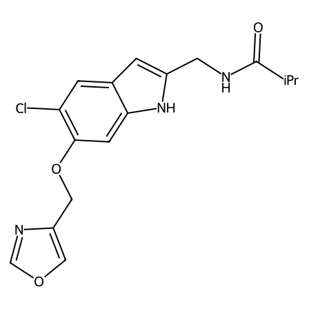 CC(C)C(=O)NCc1cc2cc(Cl)c(OCc3cocn3)cc2[nH]1